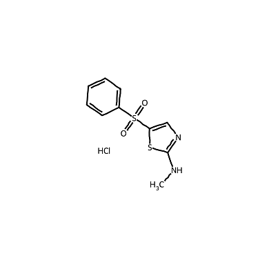 CNc1ncc(S(=O)(=O)c2ccccc2)s1.Cl